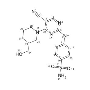 N#Cc1cnc(Nc2ccc(S(N)(=O)=O)cc2)nc1N1CCC[C@@H](CO)C1